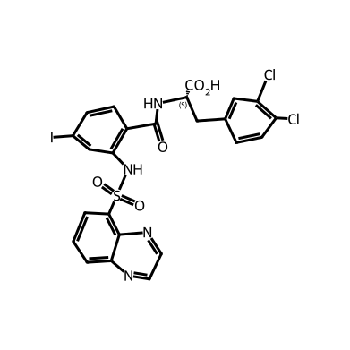 O=C(N[C@@H](Cc1ccc(Cl)c(Cl)c1)C(=O)O)c1ccc(I)cc1NS(=O)(=O)c1cccc2nccnc12